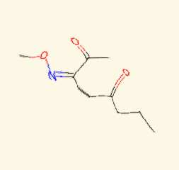 CCCC(=O)C/C(=N/OC)C(C)=O